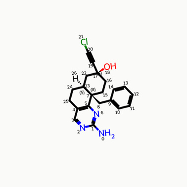 Nc1ncc2c(n1)[C@@]1(Cc3ccccc3)CC[C@@](O)(C#CCl)C[C@@H]1CC2